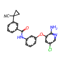 N#CC1(c2cccc(C(=O)Nc3cccc(Oc4cc(Cl)cnc4N)c3)c2)CC1